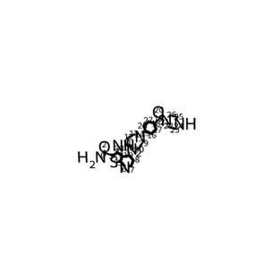 NC(=O)c1sc2nccc(N3CCCN(c4ccc(C(=O)N5CCNCC5)cc4)CC3)c2c1N